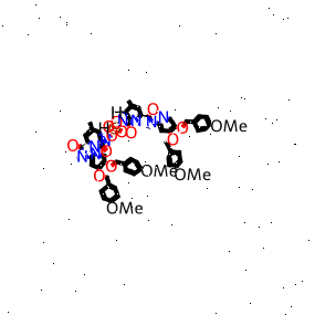 COc1ccc(COc2cnc(N(C)C(=O)[C@@H]3C=C(C)[C@@H]4CN3C(=O)N4OS(=O)(=O)ON3C(=O)N4C[C@H]3C(C)=C[C@H]4C(=O)N(C)c3cc(OCc4ccc(OC)cc4)c(OCc4ccc(OC)cc4)cn3)cc2OCc2ccc(OC)cc2)cc1